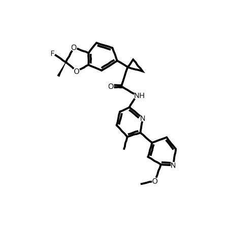 COc1cc(-c2nc(NC(=O)C3(c4ccc5c(c4)O[C@](C)(F)O5)CC3)ccc2C)ccn1